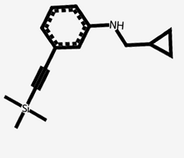 C[Si](C)(C)C#Cc1cccc(NCC2CC2)c1